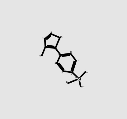 CC1=C(c2ccc([Si](C)(C)C)cc2)CC=C1